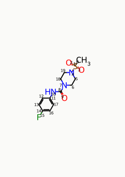 CS(=O)(=O)N1CCN(C(=O)Nc2ccc(F)cc2)CC1